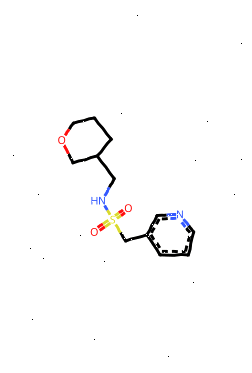 O=S(=O)(Cc1cccnc1)NCC1CCCOC1